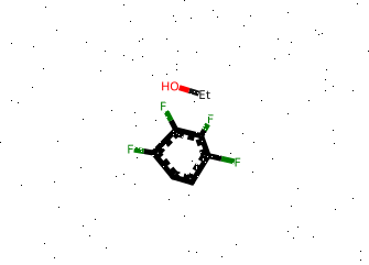 CCO.Fc1ccc(F)c(F)c1F